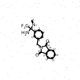 C=NC(N)(c1cccc(CN2C(=O)c3ccccc3C2=O)c1)C(F)(F)F